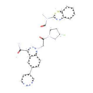 CN(C(=O)[C@@H]1C[C@@H](F)CN1C(=O)Cn1nc(C(N)=O)c2cc(-c3ccnnc3)ccc21)c1nc2ccccc2s1